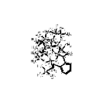 C=Cc1ccccc1C(C)[Si](O[Si](O[Si](C)(C)C)(O[Si](C)(C)C)O[Si](C)(C)C)(O[Si](O[Si](C)(C)C)(O[Si](C)(C)C)O[Si](C)(C)C)O[Si](O[Si](C)(C)C)(O[Si](C)(C)C)O[Si](C)(C)C